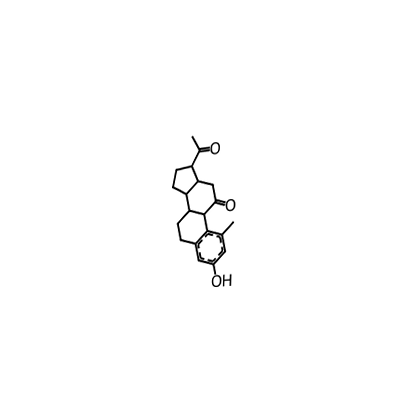 CC(=O)C1CCC2C1CC(=O)C1c3c(C)cc(O)cc3CCC12